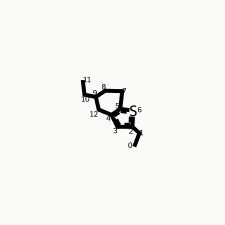 CCc1cc2c(s1)CCC(CC)C2